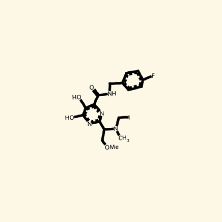 COCC(c1nc(O)c(O)c(C(=O)NCc2ccc(F)cc2)n1)N(C)CI